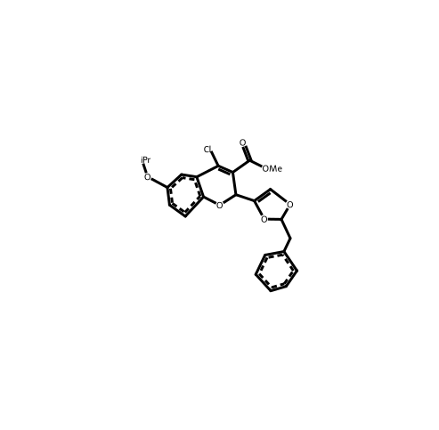 COC(=O)C1=C(Cl)c2cc(OC(C)C)ccc2OC1C1=COC(Cc2ccccc2)O1